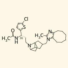 CC(=O)N[C@@H](CCN1C2CCC13CC(Cn1c(C)nc4c1CCCCCC4)CC23)c1ccc(Cl)s1